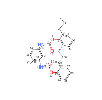 CCCc1ccccc1OC(=O)Nc1ccc(C)c(NC(=O)Oc2ccccc2CCC)c1